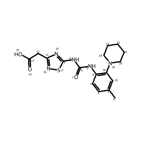 Cc1ccc(NC(=O)Nc2nc(CC(=O)O)ns2)c(N2CCCCC2)c1